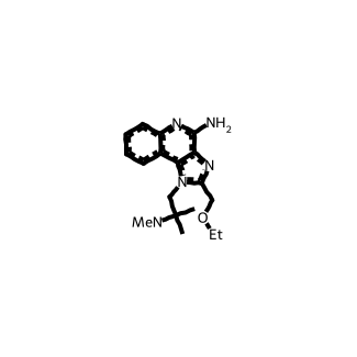 CCOCc1nc2c(N)nc3ccccc3c2n1CC(C)(C)NC